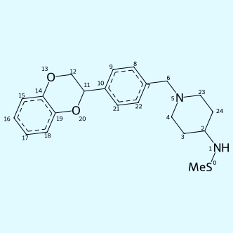 CSNC1CCN(Cc2ccc(C3COc4ccccc4O3)cc2)CC1